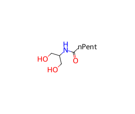 CCCCCC(=O)NC(CO)CO